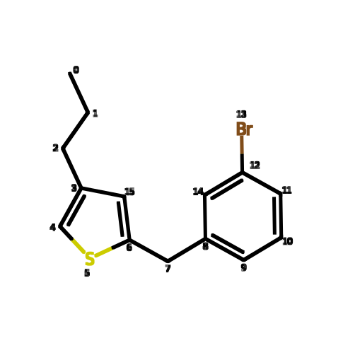 CCCc1csc(Cc2cccc(Br)c2)c1